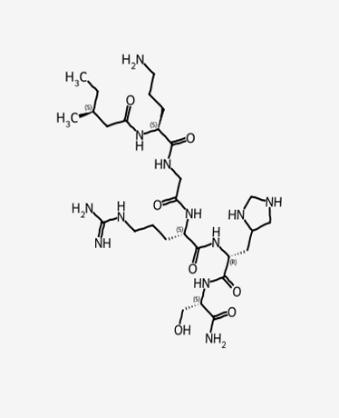 CC[C@H](C)CC(=O)N[C@@H](CCCN)C(=O)NCC(=O)N[C@@H](CCCNC(=N)N)C(=O)N[C@H](CC1CNCN1)C(=O)N[C@@H](CO)C(N)=O